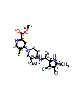 CO[C@H]1CN(c2cc(C(=O)OC(C)C)ncc2Cl)CC[C@H]1NC(=O)c1[nH]c(C)c(Cl)c1Cl